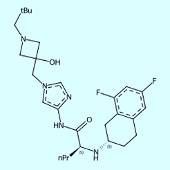 CCC[C@H](N[C@H]1CCc2cc(F)cc(F)c2C1)C(=O)Nc1cn(CC2(O)CN(CC(C)(C)C)C2)cn1